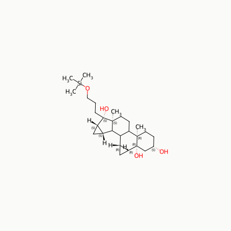 C[C@]12CCC3C(C1[C@@H]1C[C@@H]1[C@@]2(O)CCCO[Si](C)(C)C)[C@H]1C[C@H]1[C@]1(O)C[C@@H](O)CC[C@]31C